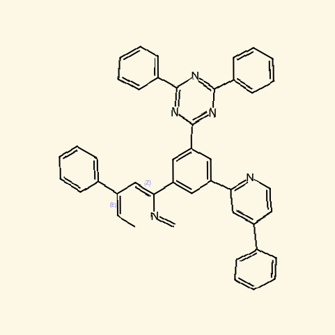 C=N/C(=C\C(=C/C)c1ccccc1)c1cc(-c2cc(-c3ccccc3)ccn2)cc(-c2nc(-c3ccccc3)nc(-c3ccccc3)n2)c1